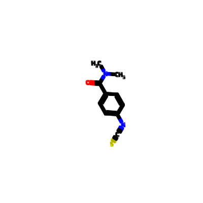 CN(C)C(=O)c1ccc(N=C=S)cc1